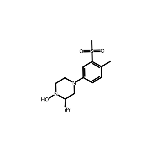 Cc1ccc(N2CCN(O)[C@H](C(C)C)C2)cc1S(C)(=O)=O